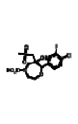 CS(=O)(=O)CC1(O)CN(C(=O)O)CCOC1c1ccc(Cl)c(F)c1